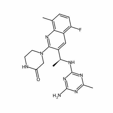 Cc1nc(N)nc(N[C@@H](C)c2cc3c(F)ccc(C)c3nc2N2CCNC(=O)C2)n1